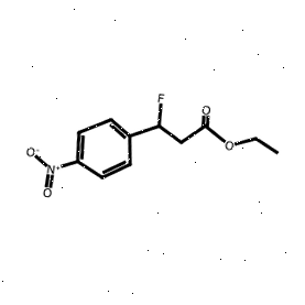 CCOC(=O)CC(F)c1ccc([N+](=O)[O-])cc1